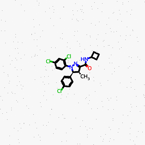 C[C@@H]1C(C(=O)NC2CCC2)=NN(c2ccc(Cl)cc2Cl)[C@@H]1c1ccc(Cl)cc1